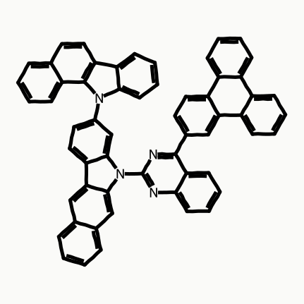 c1ccc2cc3c(cc2c1)c1ccc(-n2c4ccccc4c4ccc5ccccc5c42)cc1n3-c1nc(-c2ccc3c4ccccc4c4ccccc4c3c2)c2ccccc2n1